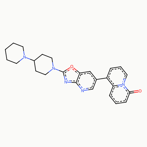 O=c1cccc2c(-c3cnc4nc(N5CCC(N6CCCCC6)CC5)oc4c3)cccn12